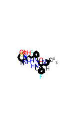 O=C(O)NC(C(=O)Nc1cccc(F)c1CC[C@H]1CN[C@@H]2CCCS(O)(O)N1C2)C(c1ccc(F)cc1)c1ccc(C(F)(F)F)cn1